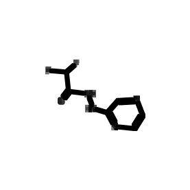 O=C(NNc1cnccn1)C(F)F